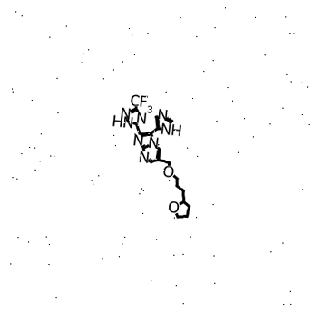 FC(F)(F)c1n[nH]c(-c2nc3ncc(COCCCC4CCCO4)cn3c2-c2cnc[nH]2)n1